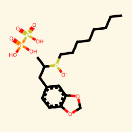 CCCCCCCC[S+]([O-])C(C)Cc1ccc2c(c1)OCO2.O=P(O)(O)S(=O)(=O)O